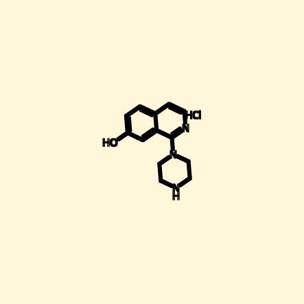 Cl.Oc1ccc2ccnc(N3CCNCC3)c2c1